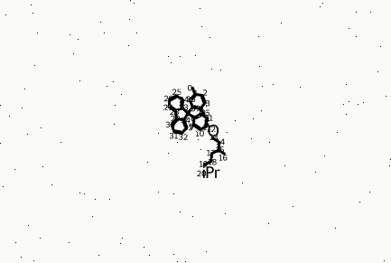 Cc1ccc(C)c(C2(c3ccc(OCCC(C)CCCC(C)C)cc3)c3ccccc3-c3ccccc32)c1